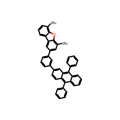 CC(C)(C)c1cccc2c1oc1c(C(C)(C)C)cc(-c3cccc(-c4ccc5c(-c6ccccc6)c6ccccc6c(-c6ccccc6)c5c4)c3)cc12